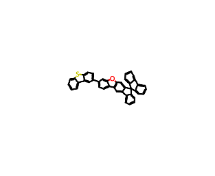 c1ccc2c(c1)-c1ccccc1C21c2ccccc2-c2cc3c(cc21)oc1cc(-c2ccc4sc5ccccc5c4c2)ccc13